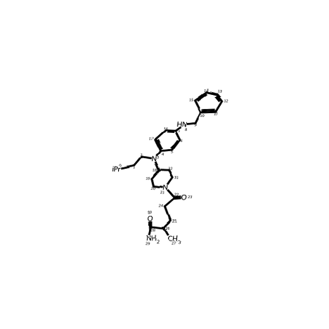 CC(C)CCN(c1ccc(NCc2ccccc2)cc1)C1CCN(C(=O)[CH]CC(C)C(N)=O)CC1